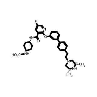 C[C@@H]1CN(CCc2ccc(-c3cccc(Oc4ncc(F)cc4C(=O)N[C@H]4CC[C@H](NC(=O)O)CC4)c3)cc2)C[C@H](C)N1